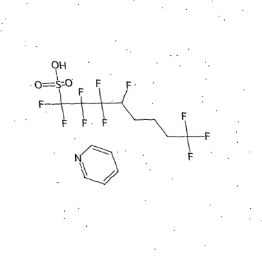 O=S(=O)(O)C(F)(F)C(F)(F)C(F)(F)C(F)CCCC(F)(F)F.c1ccncc1